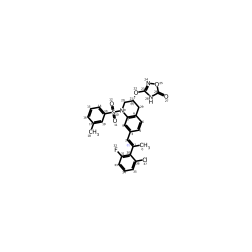 C/C(=C\c1ccc2c(c1)N(S(=O)(=O)c1cccc(C)c1)C[C@H](Oc1noc(=O)[nH]1)C2)c1c(F)cccc1Cl